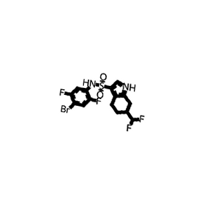 O=S(=O)(Nc1cc(F)c(Br)cc1F)c1c[nH]c2c1CCC(C(F)F)C2